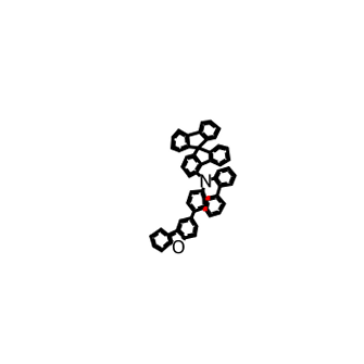 c1ccc(-c2ccccc2N(c2ccc(-c3ccc4oc5ccccc5c4c3)cc2)c2cccc3c2-c2ccccc2C32c3ccccc3-c3ccccc32)cc1